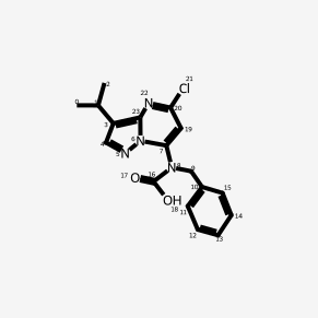 CC(C)c1cnn2c(N(Cc3ccccc3)C(=O)O)cc(Cl)nc12